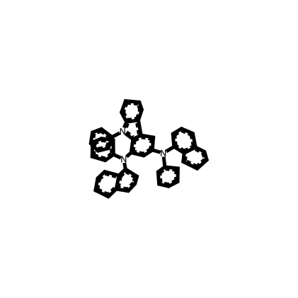 c1ccc(N(c2cc(N(c3ccccc3)c3cccc4ccccc34)c3c(c2)c2ccccc2n3-c2ccccc2)c2cccc3ccccc23)cc1